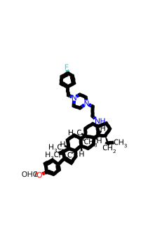 C=C(C)[C@@H]1CC[C@]2(NCCN3CCN(Cc4ccc(F)cc4)CC3)CC[C@]3(C)[C@H](CC[C@@H]4[C@@]5(C)CC=C(c6ccc(OC=O)cc6)C(C)(C)[C@@H]5CC[C@]43C)[C@@H]12